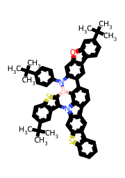 CC(C)(C)c1ccc(N2B3c4sc5ccc(C(C)(C)C)cc5c4-n4c5cc6sc7ccccc7c6cc5c5ccc(c3c54)-c3cc4c(cc32)oc2cc(C(C)(C)C)ccc24)cc1